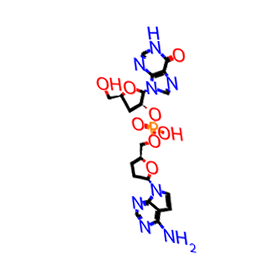 Nc1ncnc2c1ccn2[C@H]1CC[C@@H](COP(=O)(O)O[C@@H]2C[C@@H](CO)O[C@H]2n2cnc3c(=O)[nH]cnc32)O1